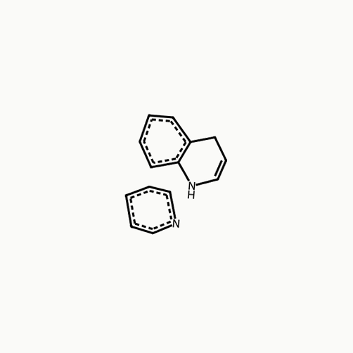 C1=CNc2ccccc2C1.c1ccncc1